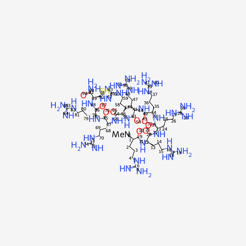 CN[C@H](CCCNC(=N)N)C(=O)N[C@H](CCCNC(=N)N)C(=O)N[C@H](CCCNC(=N)N)C(=O)N[C@H](CCCNC(=N)N)C(=O)N[C@H](CCCNC(=N)N)C(=O)N[C@H](CCCNC(=N)N)C(=O)N[C@H](CCCNC(=N)N)C(=O)N[C@H](CCCNC(=N)N)C(=O)N[C@H](CS)C(N)=O